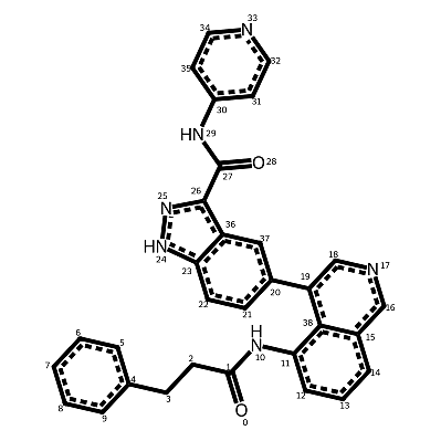 O=C(CCc1ccccc1)Nc1cccc2cncc(-c3ccc4[nH]nc(C(=O)Nc5ccncc5)c4c3)c12